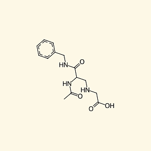 CC(=O)NC(CNCC(=O)O)C(=O)NCc1ccccc1